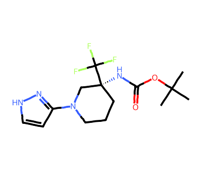 CC(C)(C)OC(=O)N[C@]1(C(F)(F)F)CCCN(c2cc[nH]n2)C1